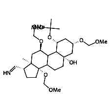 COCO[C@H]1C[C@@H](OC(C)(C)OC)C2C3C(CC[C@]2(O)C1)[C@@]1(OCOC)CC[C@H](C=N)[C@@]1(C)C[C@H]3OCOC